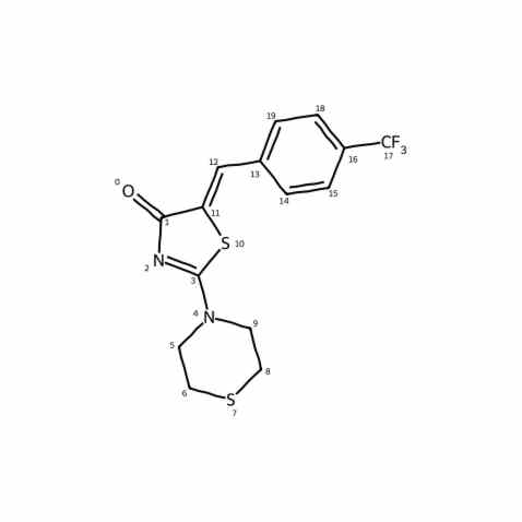 O=C1N=C(N2CCSCC2)SC1=Cc1ccc(C(F)(F)F)cc1